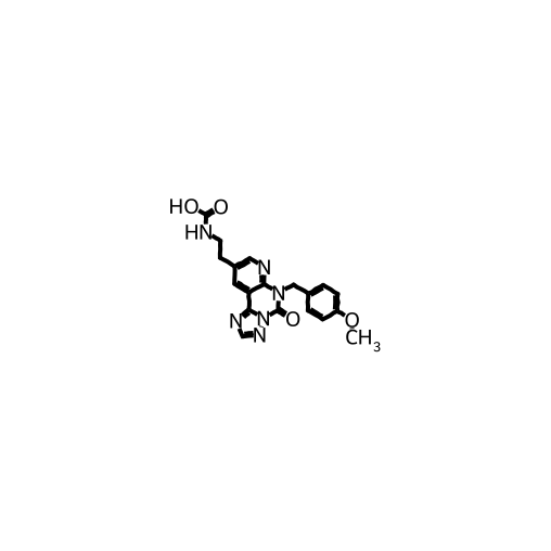 COc1ccc(Cn2c(=O)n3ncnc3c3cc(CCNC(=O)O)cnc32)cc1